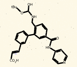 CC(C)(C)OC(O)NCc1ccc(C(=O)Nc2ccncc2)cc1-c1cccc(/C=C/C(=O)O)c1